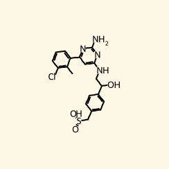 Cc1c(Cl)cccc1-c1cc(NCC(O)c2ccc(C[SH](=O)=O)cc2)nc(N)n1